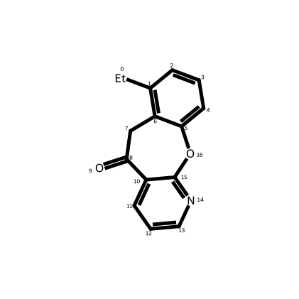 CCc1cccc2c1CC(=O)c1cccnc1O2